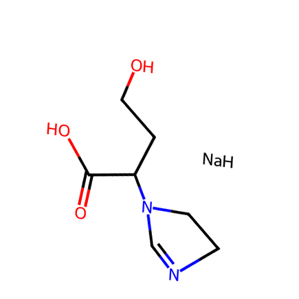 O=C(O)C(CCO)N1C=NCC1.[NaH]